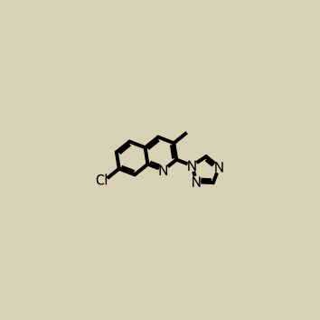 Cc1cc2ccc(Cl)cc2nc1-n1cncn1